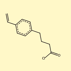 C=Cc1ccc(CCCC(=O)Cl)cc1